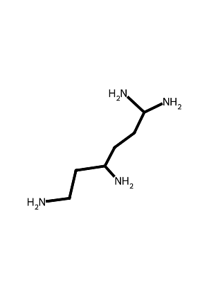 NCCC(N)CCC(N)N